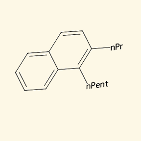 [CH2]CCCCc1c(CCC)ccc2ccccc12